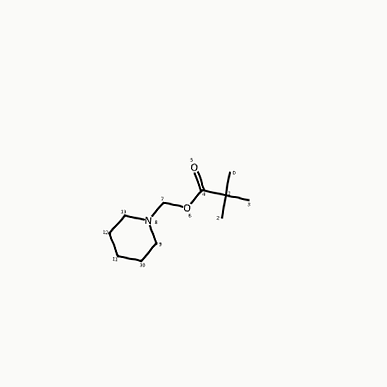 CC(C)(C)C(=O)OCN1CCCCC1